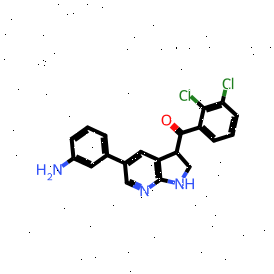 Nc1cccc(-c2cnc3c(c2)C(C(=O)c2cccc(Cl)c2Cl)CN3)c1